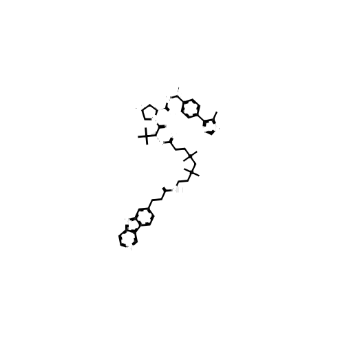 Cc1ncsc1-c1ccc([C@H](C)NC(=O)[C@@H]2C[C@@H](O)CN2C(=O)[C@@H](NC(=O)CCC(C)(C)CC(C)(C)CCNC(=O)CCc2ccc3c(c2)[nH]c2ccncc23)C(C)(C)C)cc1